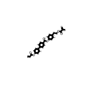 C=CC(=O)Oc1ccc(-c2ccc(C(=O)Oc3ccc(CCOC(=O)C(=C)C)cc3)cc2)cc1